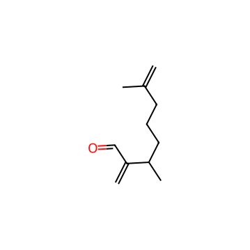 C=C(C)CCCC(C)C(=C)C=O